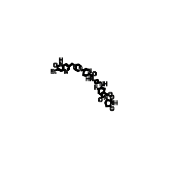 CCc1cc2ncc(CN3CCN(c4ccc(C(=O)N[C@H]5C[C@H](Nc6cc7c(cc6F)C(=O)N(C6CCC(=O)NC6=O)C7=O)C5)nc4)CC3)cc2[nH]c1=O